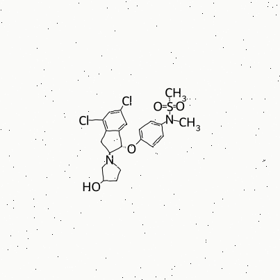 CN(c1ccc(O[C@H]2c3cc(Cl)cc(Cl)c3C[C@@H]2N2CCC(O)C2)cc1)S(C)(=O)=O